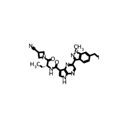 CC[C@@H](NC(=O)c1c[nH]c2ncc(-c3nn(C)c4cc(CI)ccc34)nc12)C(=O)N1CC(C#N)C1